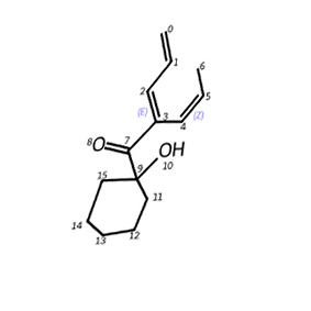 C=C/C=C(\C=C/C)C(=O)C1(O)CCCCC1